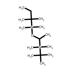 CCC(C)(C)[Si](C)(C)OC(C)[Si](C)(C)C(C)(C)C